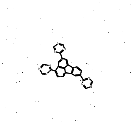 c1ncnc(-c2ccc3c(c2)-c2ccc(-c4ncncn4)c4cc(-c5ncncn5)cc-3c24)n1